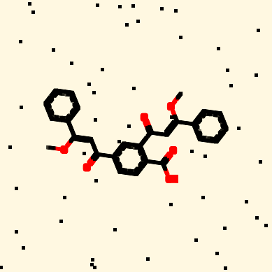 COC(=CC(=O)c1ccc(C(=O)O)c(C(=O)C=C(OC)c2ccccc2)c1)c1ccccc1